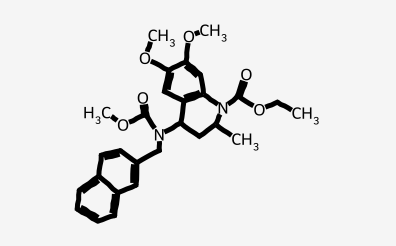 CCOC(=O)N1c2cc(OC)c(OC)cc2C(N(Cc2ccc3ccccc3c2)C(=O)OC)CC1C